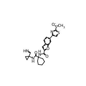 C[S+]([O-])c1nc(-c2ccc3cc(C(=O)NC4(C(=O)NC5(C=N)CC5)CCCCC4)oc3c2)cs1